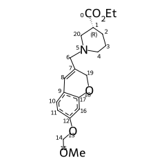 CCOC(=O)[C@@H]1CCCN(CC2=Cc3ccc(OCOC)cc3OC2)C1